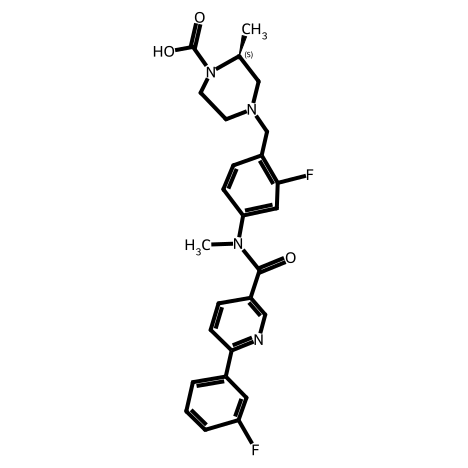 C[C@H]1CN(Cc2ccc(N(C)C(=O)c3ccc(-c4cccc(F)c4)nc3)cc2F)CCN1C(=O)O